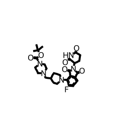 CC(C)(C)OC(=O)N1CCN(CC2CCN(c3c(F)ccc4c3C(=O)N(C3CCC(=O)NC3=O)C4=O)CC2)CC1